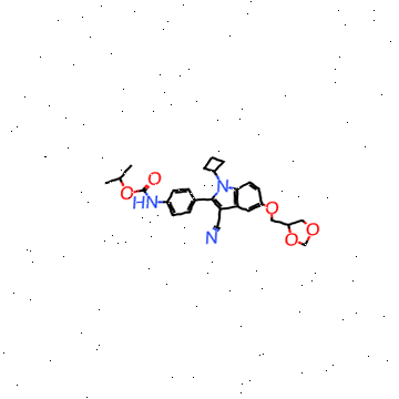 CC(C)OC(=O)Nc1ccc(-c2c(C#N)c3cc(OCC4COCO4)ccc3n2C2CCC2)cc1